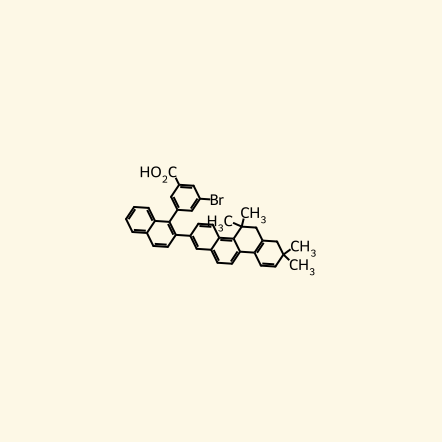 CC1(C)C=CC2=C(C1)CC(C)(C)c1c2ccc2cc(-c3ccc4ccccc4c3-c3cc(Br)cc(C(=O)O)c3)ccc12